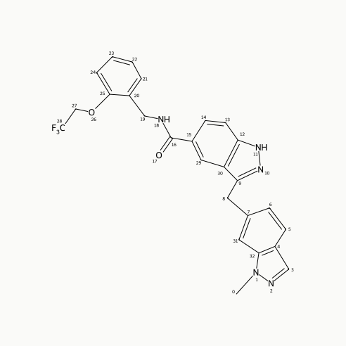 Cn1ncc2ccc(Cc3n[nH]c4ccc(C(=O)NCc5ccccc5OCC(F)(F)F)cc34)cc21